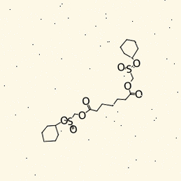 O=C(CCCCCC(=O)OCS(=O)OC1CCCCC1)OCS(=O)OC1CCCCC1